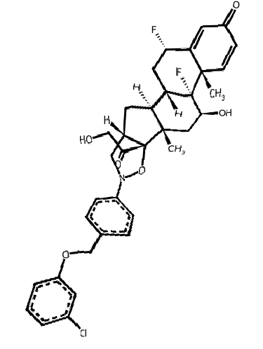 C[C@]12C=CC(=O)C=C1[C@@H](F)C[C@H]1[C@@H]3C[C@H]4CN(c5ccc(COc6cccc(Cl)c6)cc5)O[C@@]4(C(=O)CO)[C@@]3(C)C[C@H](O)[C@@]12F